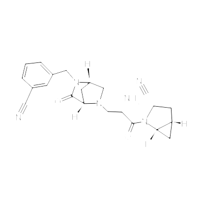 C[C@@H](c1cccc(C#N)c1)N1C(=O)[C@@H]2C[C@H]1CN2C[C@H](N)C(=O)N1[C@H](C#N)C[C@@H]2C[C@@H]21